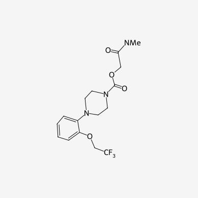 CNC(=O)COC(=O)N1CCN(c2ccccc2OCC(F)(F)F)CC1